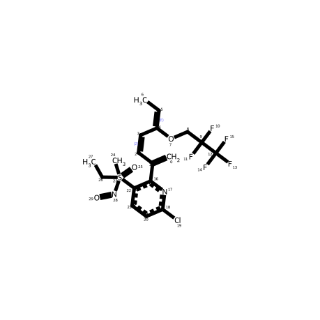 C=C(/C=C\C(=C/C)OCC(F)(F)C(F)(F)F)c1nc(Cl)ccc1S(C)(=O)(CC)N=O